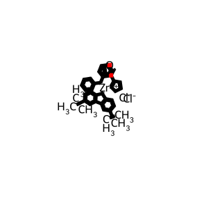 CC(C)(C)c1ccc2c(c1)-c1cc(C(C)(C)C)ccc1[CH]2[Zr+2]([C]1=C(c2ccoc2)C=CC1)=[C](c1ccccc1)c1ccccc1.[Cl-].[Cl-]